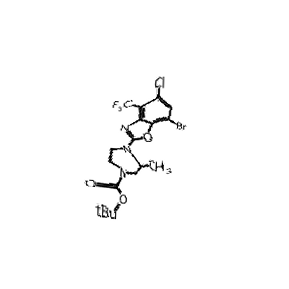 CC1CN(C(=O)OC(C)(C)C)CCN1c1nc2c(C(F)(F)F)c(Cl)cc(Br)c2o1